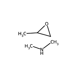 CC1CO1.CNC